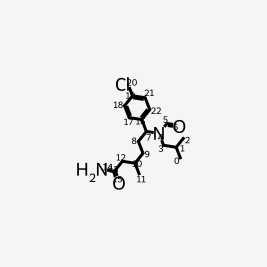 CC(C)CN(C=O)C(CCC(C)CC(N)=O)c1ccc(Cl)cc1